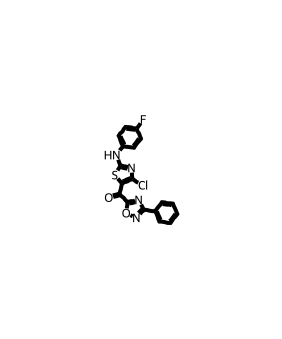 O=C(c1nc(-c2ccccc2)no1)c1sc(Nc2ccc(F)cc2)nc1Cl